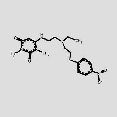 CCN(CCNc1cc(=O)n(C)c(=O)n1C)CCSc1ccc([N+](=O)[O-])cc1